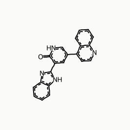 O=c1[nH]cc(-c2ccnc3ccccc23)cc1-c1nc2ccccc2[nH]1